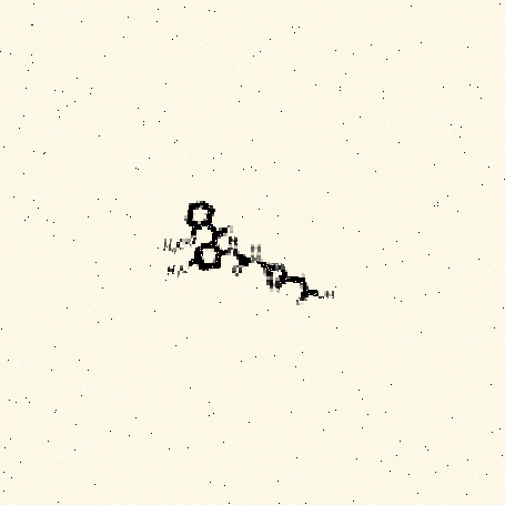 COc1ccccc1C(=O)c1cc(C)ccc1NC(=O)Nc1nc(CC(=O)O)ns1